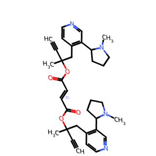 C#CC(C)(Cc1ccncc1C1CCCN1C)OC(=O)/C=C/C(=O)OC(C)(C#C)Cc1ccncc1C1CCCN1C